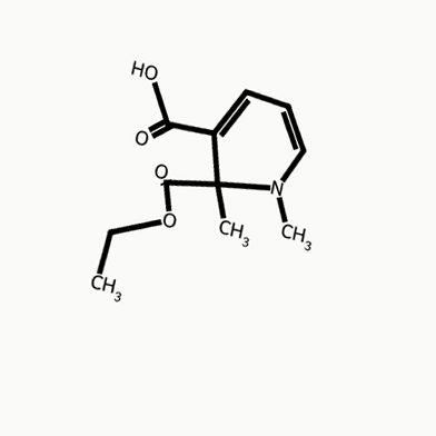 CCOC(=O)C1(C)C(C(=O)O)=CC=CN1C